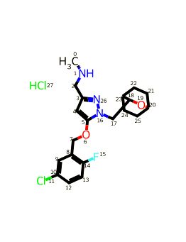 CNCc1cc(OCc2cc(Cl)ccc2F)n(CC2OC3CCC2CC3)n1.Cl